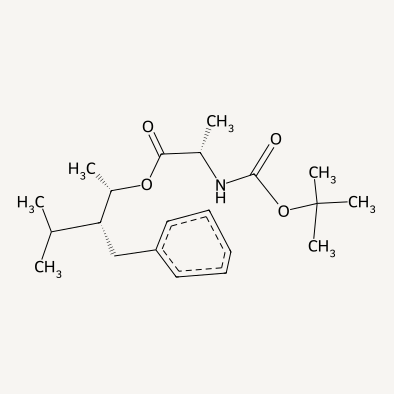 CC(C)[C@@H](Cc1ccccc1)[C@H](C)OC(=O)[C@H](C)NC(=O)OC(C)(C)C